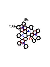 CC(C)(C)c1ccc2c(c1)c1cc(C(C)(C)C)ccc1n2-c1cc2c3c(c1)N(c1c(-c4ccccc4)cccc1-c1ccccc1)c1cc(N(c4ccccc4)c4ccccc4)c4c(oc5ccccc54)c1B3c1ccc(N(c3ccccc3)c3ccccc3)cc1N2c1c(-c2ccccc2)cccc1-c1ccccc1